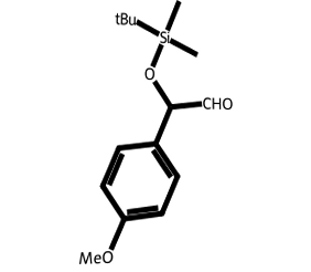 COc1ccc(C(C=O)O[Si](C)(C)C(C)(C)C)cc1